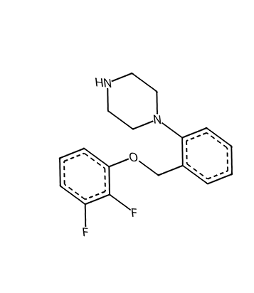 Fc1cccc(OCc2ccccc2N2CCNCC2)c1F